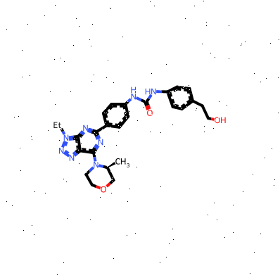 CCn1nnc2c(N3CCOC[C@@H]3C)nc(-c3ccc(NC(=O)Nc4ccc(CCO)cc4)cc3)nc21